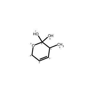 CC1C=CCOC1(O)O